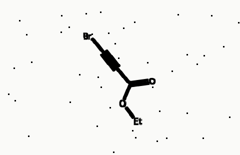 CCOC(=O)C#CBr